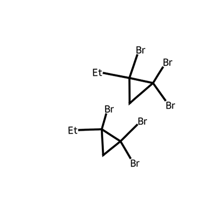 CCC1(Br)CC1(Br)Br.CCC1(Br)CC1(Br)Br